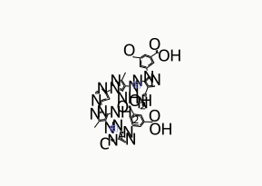 [C-]#[N+]c1cnn(-c2cc(C(=O)O)cc(C(=O)O)c2)c1/N=N/c1c(C)nn(-c2cc(-n3nc(C)c(/N=N/c4c(C#N)cnn4-c4cc(C=O)cc(C(=O)O)c4)c3N)ncn2)c1N